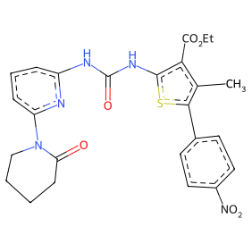 CCOC(=O)c1c(NC(=O)Nc2cccc(N3CCCCC3=O)n2)sc(-c2ccc([N+](=O)[O-])cc2)c1C